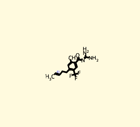 C/C=C/CCc1cc(C)c(C(=O)N=C(N)N)cc1C(F)(F)F